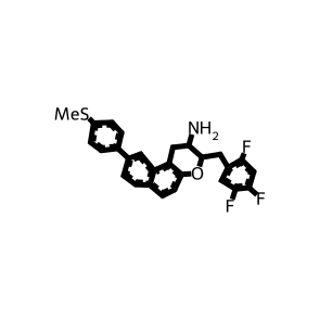 CSc1ccc(-c2ccc3ccc4c(c3c2)CC(N)C(Cc2cc(F)c(F)cc2F)O4)cc1